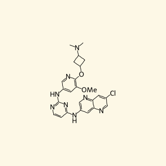 COc1cc(Nc2nccc(Nc3cnc4cc(Cl)cnc4c3)n2)cnc1OC1CC(N(C)C)C1